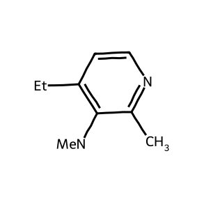 CCc1ccnc(C)c1NC